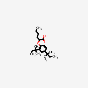 CCCCC(Oc1ccc(C(C)(C)CC)cc1C(C)(C)CC)C(=O)O